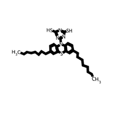 CCCCCCCCc1ccc2c(c1)Sc1cc(CCCCCCCC)ccc1N2c1nc(S)nc(S)n1